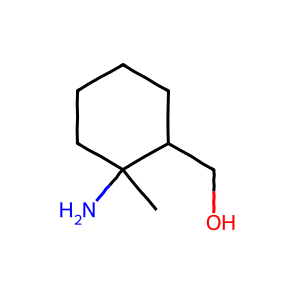 CC1(N)CCCCC1CO